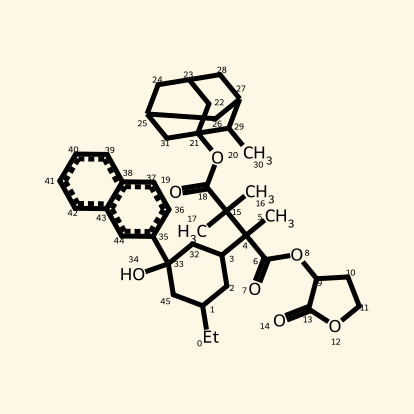 CCC1CC(C(C)(C(=O)OC2CCOC2=O)C(C)(C)C(=O)OC23CC4CC(CC(C4)C2C)C3)CC(O)(c2ccc3ccccc3c2)C1